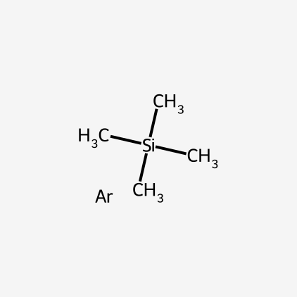 C[Si](C)(C)C.[Ar]